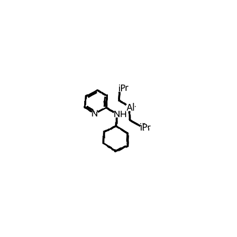 CC(C)[CH2][Al][CH2]C(C)C.c1ccc(NC2CCCCC2)nc1